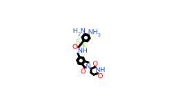 Nc1ccc(C(F)(F)C(=O)NCc2ccc3c(c2)CN(C2CCC(=O)NC2=O)C3=O)cc1N